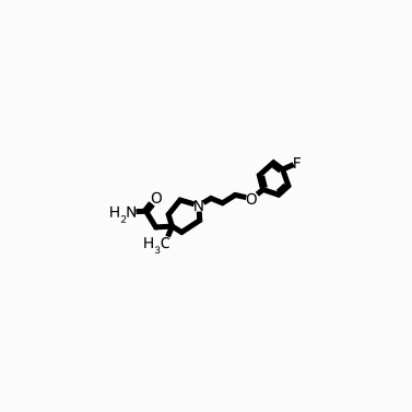 CC1(CC(N)=O)CCN(CCCOc2ccc(F)cc2)CC1